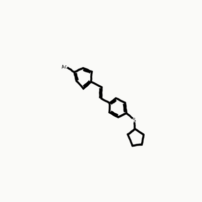 CC(=O)c1ccc(C=Cc2ccc(SC3CCCC3)cc2)cc1